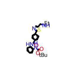 CCNCc1cnc(-c2ccc(C(=O)Nc3ccccc3NC(=O)OC(C)(C)C)cc2)s1